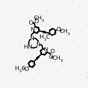 COC(=O)c1cc(C#Cc2ccc(OC)cc2)cc(CN2CCNCCN(Cc3cc(C#CC4(C)C=CC(OC)=CC4)cc(C(=O)OC)n3)CC2)n1